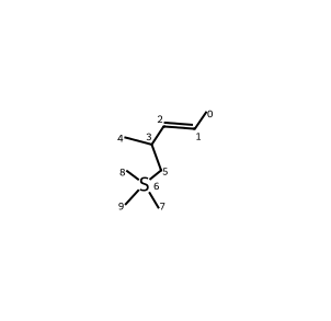 CC=CC(C)CS(C)(C)C